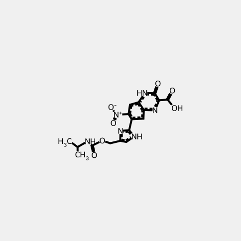 CC(C)NC(=O)OCc1c[nH]c(-c2cc3nc(C(=O)O)c(=O)[nH]c3cc2[N+](=O)[O-])n1